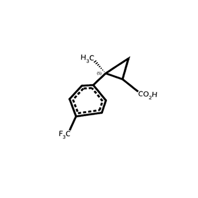 C[C@]1(c2ccc(C(F)(F)F)cc2)CC1C(=O)O